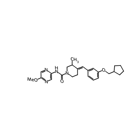 COc1cnc(NC(=O)N2CC/C(=C\c3cccc(OCC4CCCC4)c3)C(C)C2)cn1